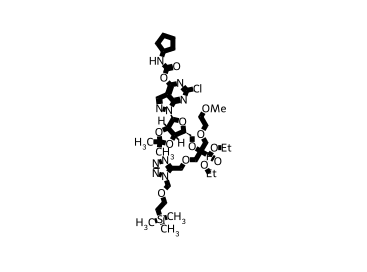 CCOP(=O)(OCC)C(COCCOC)(COCc1nnnn1COCC[Si](C)(C)C)OC[C@H]1O[C@@H](n2ncc3c(OC(=O)NC4CCCC4)nc(Cl)nc32)[C@@H]2OC(C)(C)O[C@@H]21